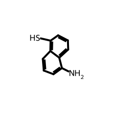 Nc1cccc2c(S)cccc12